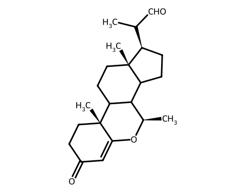 CC(C=O)[C@H]1CCC2C3C(CC[C@@]21C)[C@@]1(C)CCC(=O)C=C1O[C@@H]3C